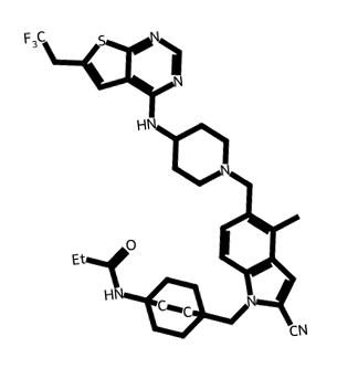 CCC(=O)NC12CCC(Cn3c(C#N)cc4c(C)c(CN5CCC(Nc6ncnc7sc(CC(F)(F)F)cc67)CC5)ccc43)(CC1)CC2